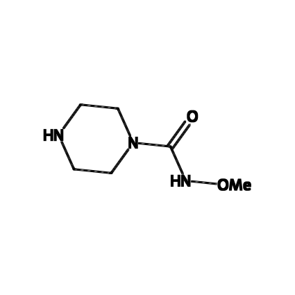 CONC(=O)N1CCNCC1